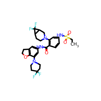 CCS(=O)(=O)Nc1ccc(C(=O)Nc2cc3c(c(N4CCC(F)(F)CC4)c2)OCC3)c(N2CCC3C(C2)C3(F)F)c1